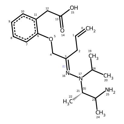 C=CC/C(COc1ccccc1CC(=O)O)=N\N(C(C)C)[C@@H](C)C(C)N